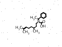 CC(C)=CCCC(C)CCN(C(=O)O)[C@H](C)c1ccccc1